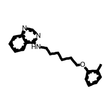 Cc1ccccc1OCCCCCCNc1ncnc2ccccc12